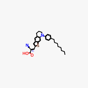 CCCCCCCCc1ccc(N2CCCc3cc4cc(/C=C(\C#N)C(=O)O)sc4cc32)cc1